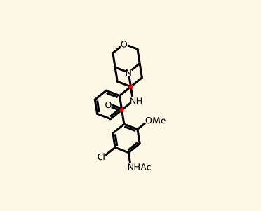 COc1cc(NC(C)=O)c(Cl)cc1C(=O)NC1CC2COCC(C1)N2Cc1ccccc1